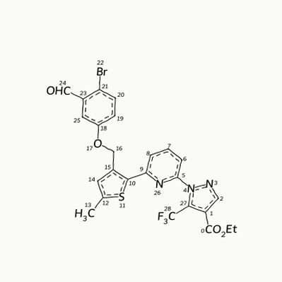 CCOC(=O)c1cnn(-c2cccc(-c3sc(C)cc3COc3ccc(Br)c(C=O)c3)n2)c1C(F)(F)F